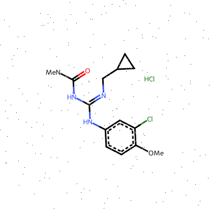 CNC(=O)NC(=NCC1CC1)Nc1ccc(OC)c(Cl)c1.Cl